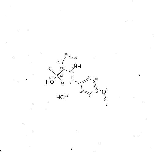 COc1ccc(C[C@H]2NCCC[C@@H]2C(C)(C)O)cc1.Cl